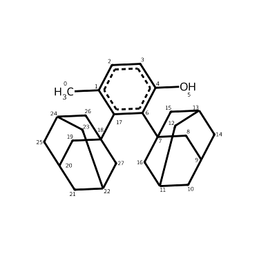 Cc1ccc(O)c(C23CC4CC(CC(C4)C2)C3)c1C12CC3CC(CC(C3)C1)C2